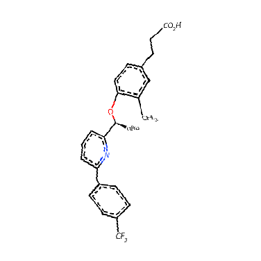 CCCC[C@H](Oc1ccc(CCC(=O)O)cc1C)c1cccc(-c2ccc(C(F)(F)F)cc2)n1